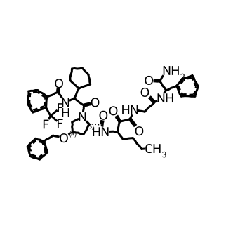 CCCCC(NC(=O)[C@@H]1C[C@@H](OCc2ccccc2)CN1C(=O)C(NC(=O)c1ccccc1C(F)(F)F)C1CCCCC1)C(=O)C(=O)NCC(=O)NC(C(N)=O)c1ccccc1